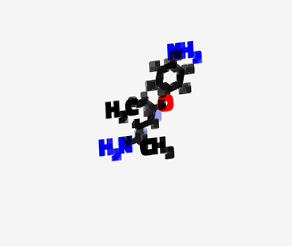 C=C/C(=C\C=C(/C)N)Oc1ccc(N)cc1